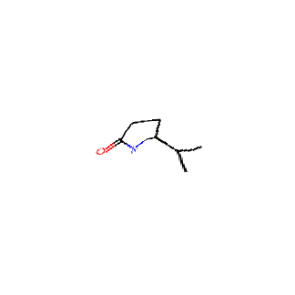 CC(C)C1CCC(=O)[N]1